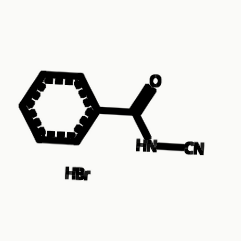 Br.N#CNC(=O)c1ccccc1